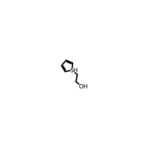 O[CH]C[SH]1C=CC=C1